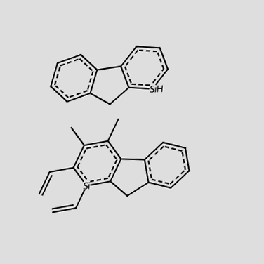 C=Cc1c(C)c(C)c2c([si]1C=C)Cc1ccccc1-2.c1ccc2c(c1)Cc1[siH]cccc1-2